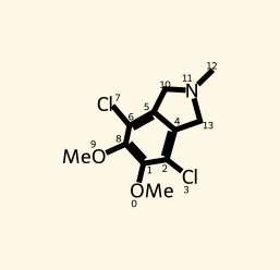 COc1c(Cl)c2c(c(Cl)c1OC)CN(C)C2